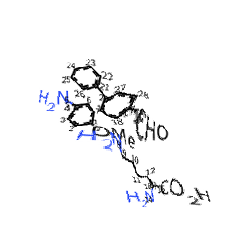 COc1ccc(N)cc1.NCCCC[C@H](N)C(=O)O.O=Cc1ccc(-c2ccccc2)cc1